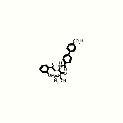 COc1ccccc1C(C)C[C@H](NC(=O)c1ccc(-c2ccc(C(=O)O)cc2)cc1)C(=O)N(C)C#N